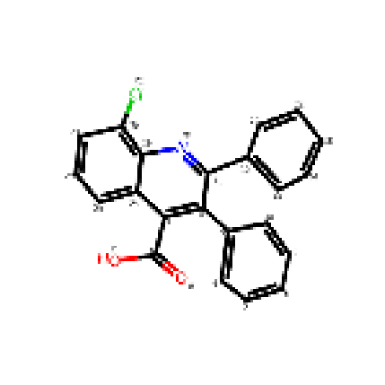 O=C(O)c1c(-c2ccccc2)c(-c2ccccc2)nc2c(Cl)cccc12